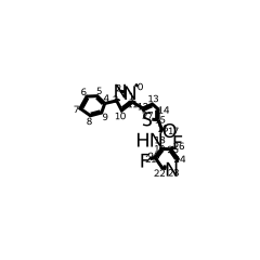 Cn1nc(-c2ccccc2)cc1-c1ccc(C(=O)Nc2c(F)cncc2F)s1